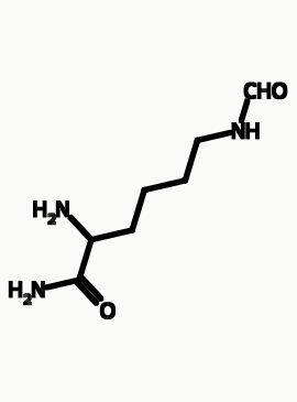 NC(=O)C(N)CCCCNC=O